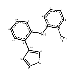 Cc1ccccc1Nc1ccccc1C1=CCC=C1